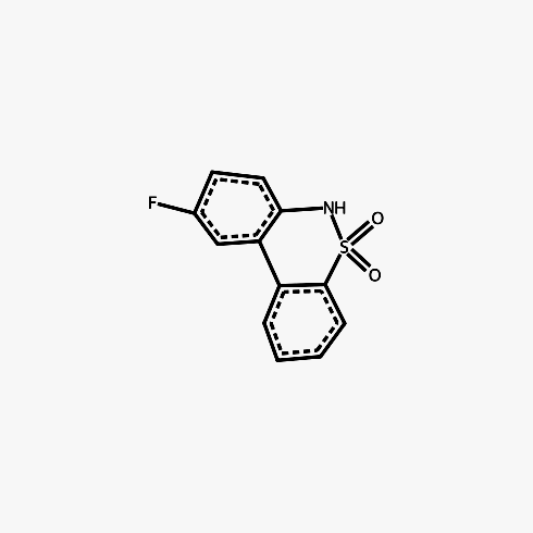 O=S1(=O)Nc2ccc(F)cc2-c2ccccc21